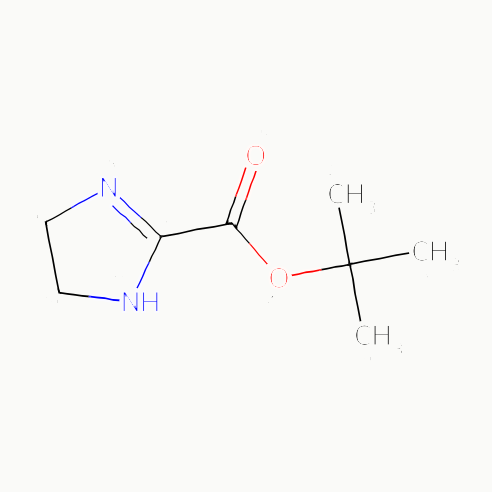 CC(C)(C)OC(=O)C1=NCCN1